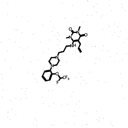 C=CCc1c(NCCCN2CCN(c3ccccc3OC(F)C(F)(F)F)CC2)n(C)c(=O)n(C)c1=O